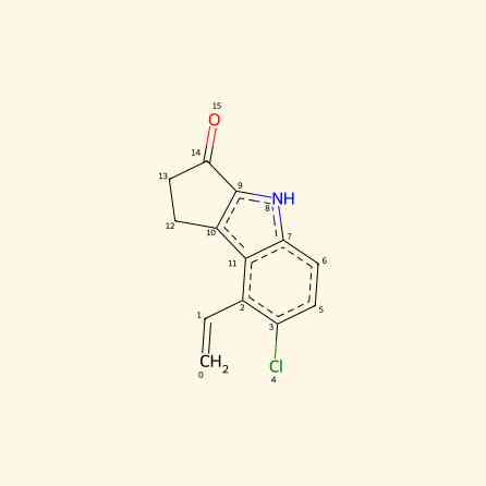 C=Cc1c(Cl)ccc2[nH]c3c(c12)CCC3=O